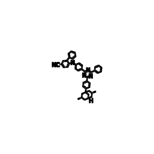 C[C@@H]1C[C@@H]2C[C@H](C)CC(c3ccc(-c4nc(-c5ccccc5)nc(-c5ccc(-n6c7ccccc7c7cc(C#N)ccc76)cc5)n4)cc3)(C1)C2